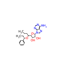 CCCC(O[C@H](CC)c1ccccc1)[C@H]1O[C@@H](n2cnc3c(N)ncnc32)[C@H](O)[C@@H]1O